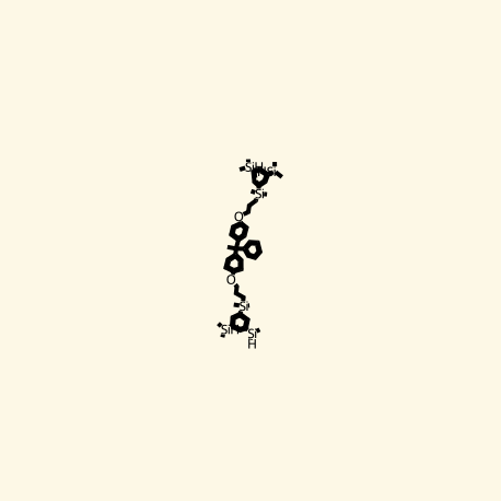 C[SiH](C)c1cc([SiH](C)C)cc([Si](C)(C)CCCOc2ccc(C(C)(c3ccccc3)c3ccc(OCCC[Si](C)(C)c4cc([SiH](C)C)cc([SiH](C)C)c4)cc3)cc2)c1